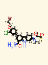 NC(=O)c1cc(-c2ccc(OCCBr)c(Cl)c2)cc2c1[nH]c1cc(N3CCSC(=O)C3=O)ccc12